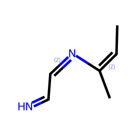 C/C=C(C)\N=C/C=N